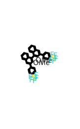 COc1c(-c2ccc(S(F)(F)(F)(F)F)cc2)cc2ccccc2c1-c1c(OC)c(-c2ccc(S(F)(F)(F)(F)F)cc2)cc2ccccc12